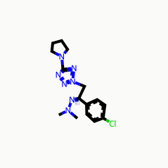 CN(C)/N=C(/Cn1nnc(N2CCCC2)n1)c1ccc(Cl)cc1